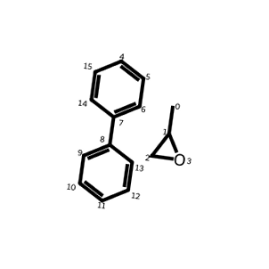 CC1CO1.c1ccc(-c2ccccc2)cc1